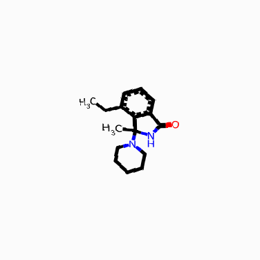 CCc1cccc2c1C(C)(N1CCCCC1)NC2=O